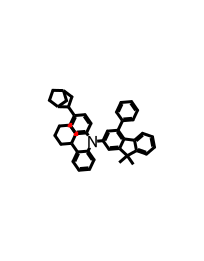 CC1(C)c2ccccc2-c2c(-c3ccccc3)cc(N(c3ccc(C4CC5CCC4C5)cc3)c3ccccc3C3CCCCC3)cc21